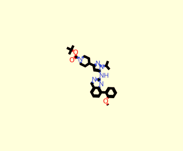 COc1ccccc1-c1cccc2cnc(Nc3cc(C4CCN(C(=O)OC(C)(C)C)CC4)nn3C(C)C)nc12